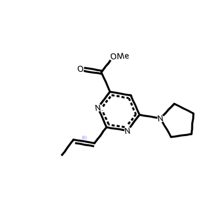 C/C=C/c1nc(C(=O)OC)cc(N2CCCC2)n1